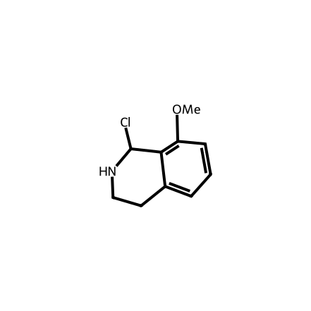 COc1cccc2c1C(Cl)NCC2